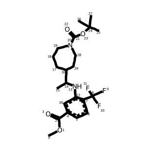 COC(=O)c1ccc(C(F)(F)F)c(NC(C)C2CCCN(C(=O)OC(C)(C)C)CC2)c1